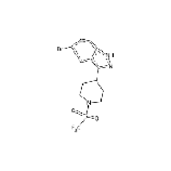 O=S(=O)(N1CCC(c2n[nH]c3ccc(Br)cc23)CC1)C(F)(F)F